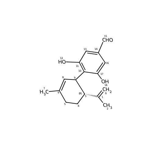 C=C(C)[C@@H]1CCC(C)=CC1c1c(O)cc(C=O)cc1O